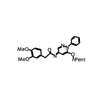 CCCCCOc1cc(=NC(=O)Cc2ccc(OC)c(OC)c2)cnn1-c1ccccc1